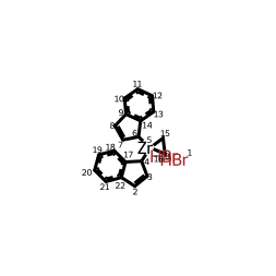 Br.Br.C1=C[CH]([Zr]2([CH]3C=Cc4ccccc43)[CH2][CH2]2)c2ccccc21